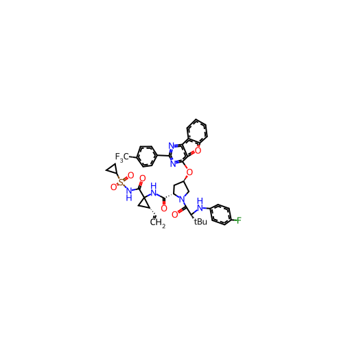 C=C[C@@H]1CC1(NC(=O)[C@@H]1C[C@@H](Oc2nc(-c3ccc(C(F)(F)F)cc3)nc3c2oc2ccccc23)CN1C(=O)[C@@H](Nc1ccc(F)cc1)C(C)(C)C)C(=O)NS(=O)(=O)C1CC1